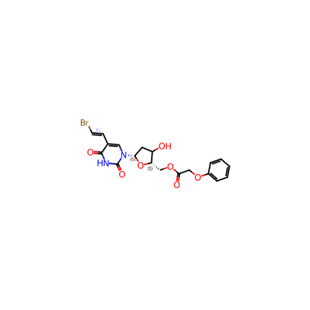 O=C(COc1ccccc1)OC[C@@H]1O[C@H](n2cc(/C=C/Br)c(=O)[nH]c2=O)CC1O